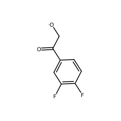 [O]CC(=O)c1ccc(F)c(F)c1